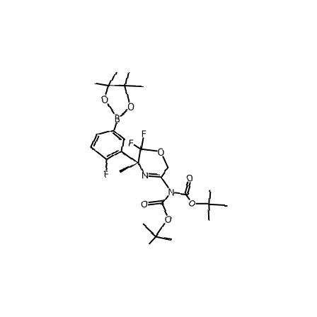 CC(C)(C)OC(=O)N(C(=O)OC(C)(C)C)C1=N[C@](C)(c2cc(B3OC(C)(C)C(C)(C)O3)ccc2F)C(F)(F)OC1